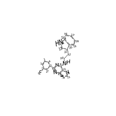 Fc1cccc(-c2nc(NCCC3CNc4ccccc43)c3ncsc3n2)c1